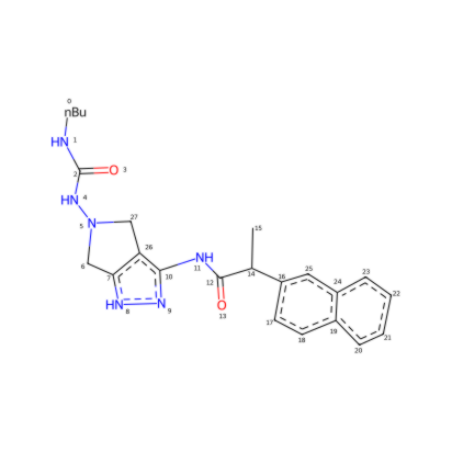 CCCCNC(=O)NN1Cc2[nH]nc(NC(=O)C(C)c3ccc4ccccc4c3)c2C1